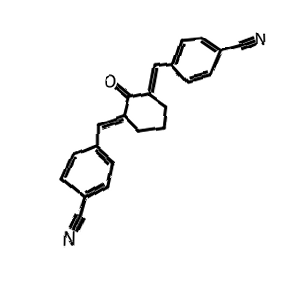 N#Cc1ccc(C=C2CCCC(=Cc3ccc(C#N)cc3)C2=O)cc1